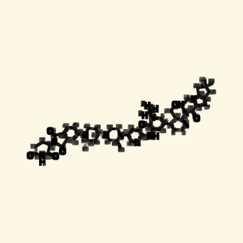 [2H]C([2H])([2H])n1cc(-c2ccnc(N3CCn4c(cc5c4CC(C)(C)C5)C3=O)c2CO)cc(Nc2ccc(N3CCN([C@H]4CCN(c5ccc6c(c5)C(=O)N([C@H]5CCC(=O)NC5=O)C6=O)[C@@H](C)C4)C[C@@H]3C)cn2)c1=O